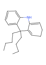 CCCCC1(CCCC)C2=CCCC=C2Nc2ccccc21